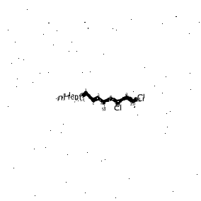 CCCCCCCCCCC(I)CC(Cl)CCCl